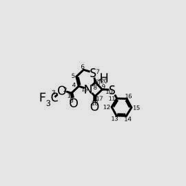 O=C(OC(F)(F)F)C1=CCS[C@H]2C(Sc3ccccc3)C(=O)N12